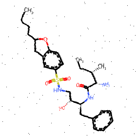 CCCCC1Cc2cc(S(=O)(=O)NC[C@@H](O)[C@H](Cc3ccccc3)NC(=O)[C@@H](N)[C@@H](C)CC)ccc2O1